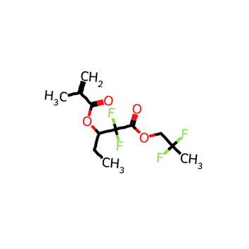 C=C(C)C(=O)OC(CC)C(F)(F)C(=O)OCC(C)(F)F